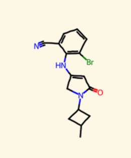 CC1CC(N2CC(Nc3c(Br)cccc3C#N)=CC2=O)C1